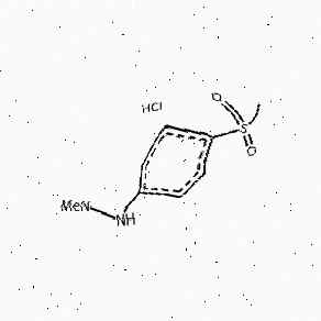 CNNc1ccc(S(C)(=O)=O)cc1.Cl